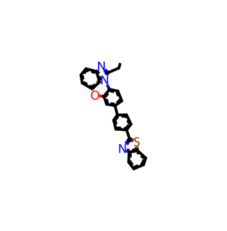 CCc1nc2cccc3c2n1-c1ccc(-c2ccc(-c4nc5ccccc5s4)cc2)cc1O3